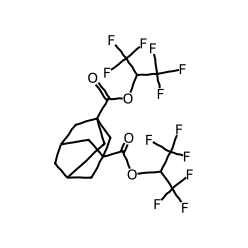 O=C(OC(C(F)(F)F)C(F)(F)F)C12CC3CC(C1)CC(C(=O)OC(C(F)(F)F)C(F)(F)F)(C3)C2